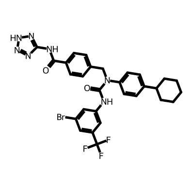 O=C(Nc1nn[nH]n1)c1ccc(CN(C(=O)Nc2cc(Br)cc(C(F)(F)F)c2)c2ccc(C3CCCCC3)cc2)cc1